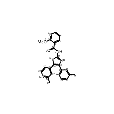 COc1ncccc1C(=O)Nc1nc(-c2cccc(C)c2)c(-c2ccnc(C)c2)s1